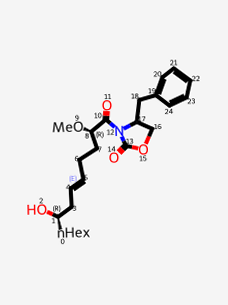 CCCCCC[C@@H](O)C/C=C/CC[C@@H](OC)C(=O)N1C(=O)OCC1Cc1ccccc1